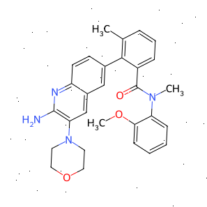 COc1ccccc1N(C)C(=O)c1cccc(C)c1-c1ccc2nc(N)c(N3CCOCC3)cc2c1